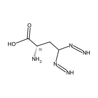 N=NC(C[C@H](N)C(=O)O)N=N